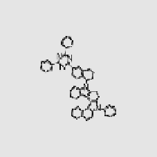 c1ccc(-c2nc(-c3ccccc3)nc(-c3ccc4c(-n5c6ccccc6c6c7c8c9ccccc9ccc8n(-c8ccccc8)c7ccc65)cccc4c3)n2)cc1